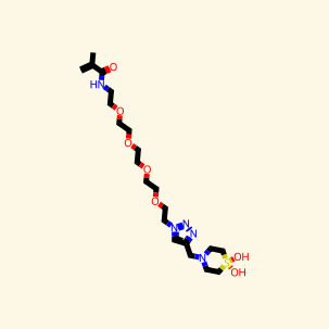 C=C(C)C(=O)NCCOCCOCCOCCOCCn1cc(CN2CCS(O)(O)CC2)nn1